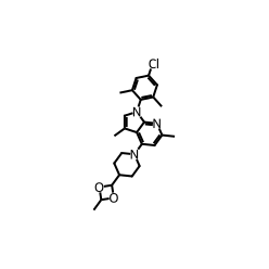 Cc1cc(N2CCC(C3OC(C)O3)CC2)c2c(C)cn(-c3c(C)cc(Cl)cc3C)c2n1